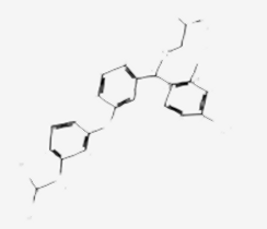 O[C@H](CNC(c1cccc(Oc2cccc(OC(F)F)c2)c1)c1ccc(C(F)(F)F)cc1F)C(F)(F)F